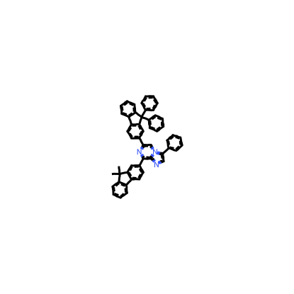 CC1(C)c2ccccc2-c2ccc(-c3nc(-c4ccc5c(c4)C(c4ccccc4)(c4ccccc4)c4ccccc4-5)cn4c(-c5ccccc5)cnc34)cc21